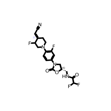 N#C/C=C1\CCN(c2ccc(N3C[C@H](CNC(=O)C(F)F)OC3=O)cc2F)CC1F